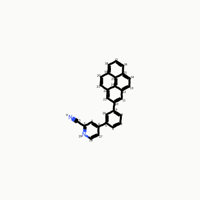 N#Cc1cc(-c2cccc(-c3cc4ccc5cccc6ccc(c3)c4c56)c2)ccn1